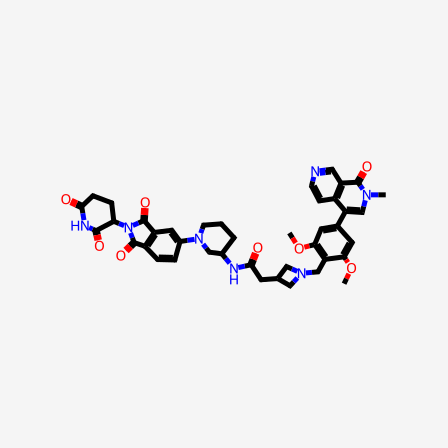 COc1cc(-c2cn(C)c(=O)c3cnccc23)cc(OC)c1CN1CC(CC(=O)NC2CCCN(c3ccc4c(c3)C(=O)N(C3CCC(=O)NC3=O)C4=O)C2)C1